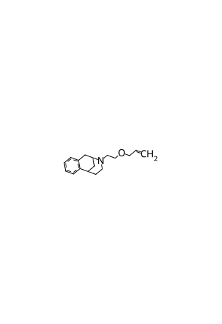 C=CCOCCN1CCC2CC1Cc1ccccc12